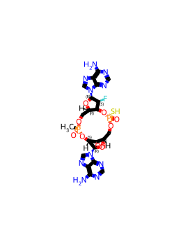 CP1(=O)OC[C@H]2O[C@@H](n3cnc4c(N)ncnc43)[C@@H](F)C2OP(=O)(S)OC[C@H]2O[C@@H](n3cnc4c(N)ncnc43)[C@@H](O1)C2O